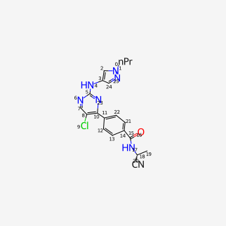 CCCn1cc(Nc2ncc(Cl)c(-c3ccc(C(=O)N[C@@H](C)C#N)cc3)n2)cn1